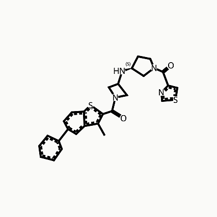 Cc1c(C(=O)N2CC(N[C@H]3CCN(C(=O)c4cscn4)C3)C2)sc2ccc(-c3ccccc3)cc12